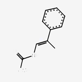 COC(=O)N/C=C(\C)c1ccccc1